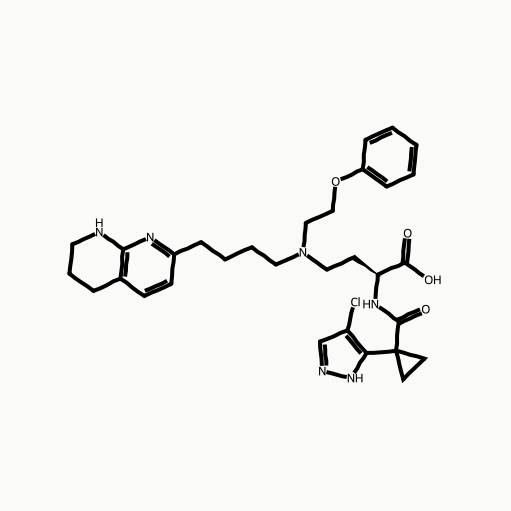 O=C(O)[C@H](CCN(CCCCc1ccc2c(n1)NCCC2)CCOc1ccccc1)NC(=O)C1(c2[nH]ncc2Cl)CC1